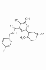 CC(=O)N1CCN(C)C(c2nc(O)c(O)c(C(=O)NCc3ccc(F)cc3)n2)C1